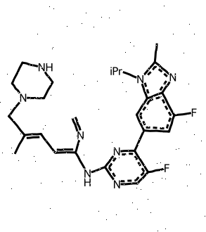 C=N/C(=C\C=C(/C)CN1CCNCC1)Nc1ncc(F)c(-c2cc(F)c3nc(C)n(C(C)C)c3c2)n1